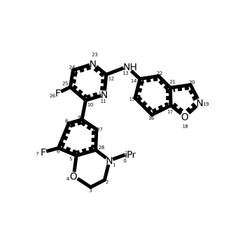 CC(C)N1CCOc2c(F)cc(-c3nc(Nc4ccc5oncc5c4)ncc3F)cc21